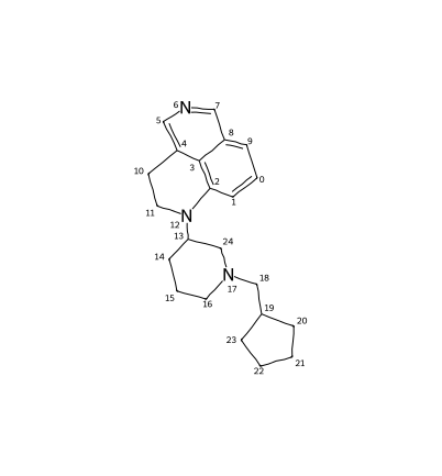 c1cc2c3c(cncc3c1)CCN2C1CCCN(CC2CCCC2)C1